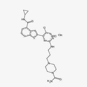 Cl.Cl.NC(=O)N1CCN(CCCNc2ncc(Cl)c(-c3cc4c(C(=O)NC5CC5)cccc4s3)n2)CC1